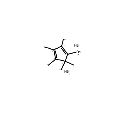 Br.Br.CC1=C(C)C(C)(C)[C]([Os])=C1C